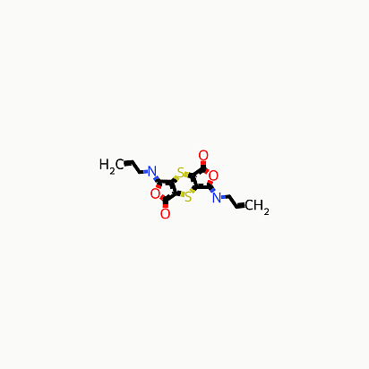 C=CC/N=c1\oc(=O)c2sc3/c(=N/CC=C)oc(=O)c3sc12